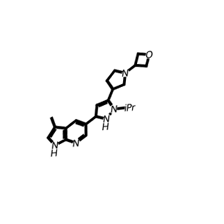 Cc1c[nH]c2ncc(C3C=C(C4CCN(C5COC5)C4)N(C(C)C)N3)cc12